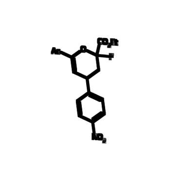 CCOC(=O)C1(F)CC(c2ccc([N+](=O)[O-])cc2)C=C(C(C)=O)O1